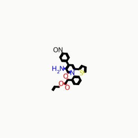 C=CCOC(=O)C(Oc1nc(-c2cccs2)cc(-c2ccc(N=O)cc2)c1N)c1ccccc1